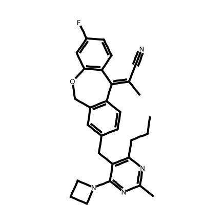 CCCc1nc(C)nc(N2CCC2)c1Cc1ccc2c(c1)COc1cc(F)ccc1C2=C(C)C#N